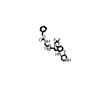 O=C(NCc1nc(-c2cc3c(N[C@@H]4CCNC[C@@H]4F)cccc3n2CC(F)(F)F)no1)OCc1ccccc1